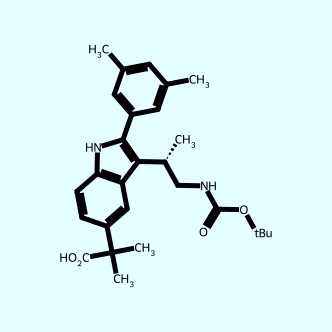 Cc1cc(C)cc(-c2[nH]c3ccc(C(C)(C)C(=O)O)cc3c2[C@H](C)CNC(=O)OC(C)(C)C)c1